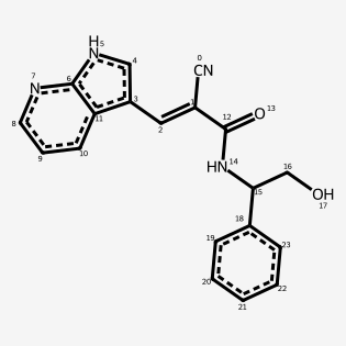 N#C/C(=C\c1c[nH]c2ncccc12)C(=O)NC(CO)c1ccccc1